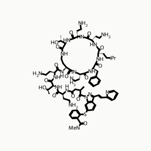 CNC(=O)c1ccccc1Sc1ccc2c(/C=C/c3ccccn3)nn(C(=O)C(C)CC(=O)N[C@@H](CCN)C(=O)N[C@H](C(=O)N[C@@H](CCN)C(=O)N[C@H]3CCNC(=O)[C@H]([C@@H](C)O)NC(=O)[C@H](CCN)NC(=O)[C@H](CCN)NC(=O)[C@H](CCC(C)C)NC(=O)[C@@H](Cc4ccccc4)NC(=O)[C@H](CCN)NC3=O)[C@@H](C)O)c2c1